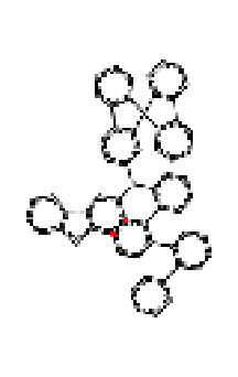 c1ccc(-c2ccccc2-c2ccccc2-c2ccccc2N(c2ccc3c(c2)C2(c4ccccc4-c4ccccc42)c2ccccc2-3)c2ccc3oc4ccccc4c3c2)cc1